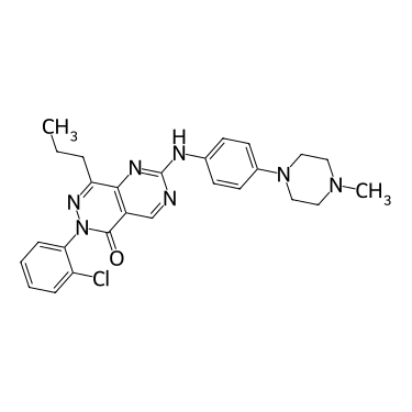 CCCc1nn(-c2ccccc2Cl)c(=O)c2cnc(Nc3ccc(N4CCN(C)CC4)cc3)nc12